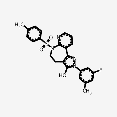 Cc1ccc(S(=O)(=O)N2CCc3c(nn(-c4cc(C)cc(F)c4)c3O)-c3cccnc32)cc1